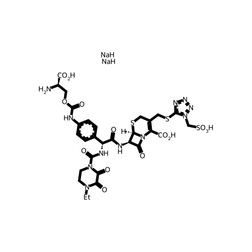 CCN1CCN(C(=O)N[C@@H](C(=O)N[C@@H]2C(=O)N3C(C(=O)O)=C(CSc4nnnn4CS(=O)(=O)O)CS[C@H]23)c2ccc(NC(=O)OC[C@@H](N)C(=O)O)cc2)C(=O)C1=O.[NaH].[NaH]